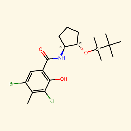 Cc1c(Br)cc(C(=O)N[C@H]2CCC[C@@H]2O[Si](C)(C)C(C)(C)C)c(O)c1Cl